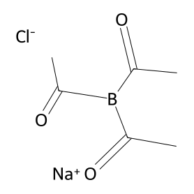 CC(=O)B(C(C)=O)C(C)=O.[Cl-].[Na+]